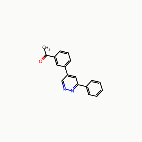 CC(=O)c1cccc(-c2cnnc(-c3ccccc3)c2)c1